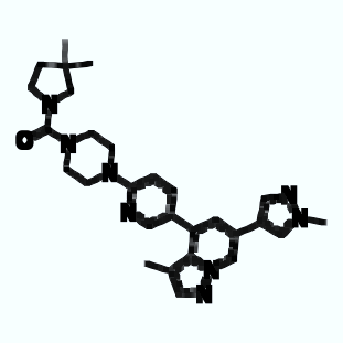 Cc1cnn2cc(-c3cnn(C)c3)cc(-c3ccc(N4CCN(C(=O)N5CCC(C)(C)C5)CC4)nc3)c12